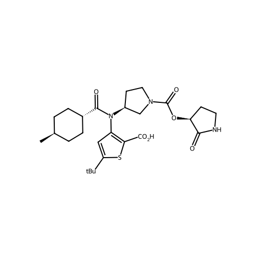 CC(C)(C)c1cc(N(C(=O)[C@H]2CC[C@H](C)CC2)[C@H]2CCN(C(=O)O[C@H]3CCNC3=O)C2)c(C(=O)O)s1